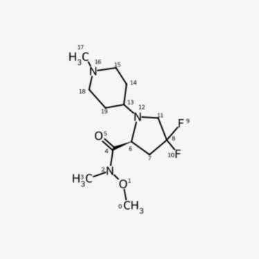 CON(C)C(=O)[C@@H]1CC(F)(F)CN1C1CCN(C)CC1